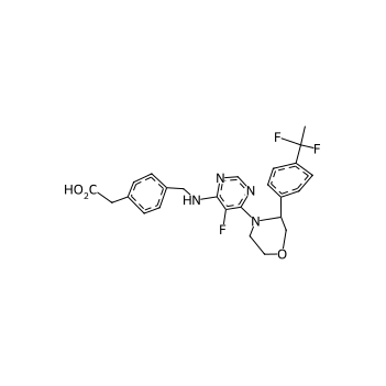 CC(F)(F)c1ccc(C2COCCN2c2ncnc(NCc3ccc(CC(=O)O)cc3)c2F)cc1